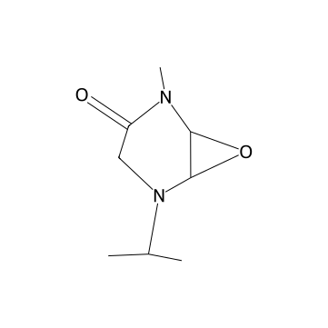 CC(C)N1CC(=O)N(C)C2OC21